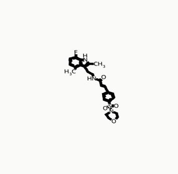 Cc1[nH]c2c(F)ccc(C)c2c1CCNC(=O)C=Cc1ccc(S(=O)(=O)N2CCOCC2)cc1